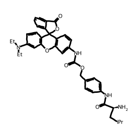 CCN(CC)c1ccc2c(c1)Oc1cc(NC(=O)OCc3ccc(NC(=O)[C@@H](N)CC(C)C)cc3)ccc1C21OC(=O)c2ccccc21